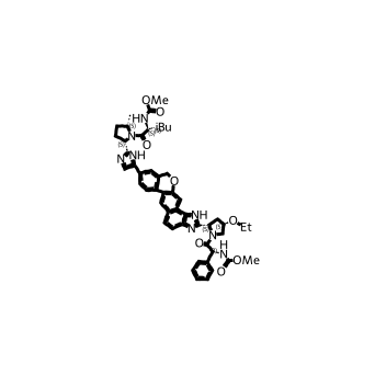 CCO[C@H]1C[C@@H](c2nc3ccc4cc5c(cc4c3[nH]2)OCc2cc(-c3cnc([C@@H]4CC[C@H](C)N4C(=O)[C@@H](NC(=O)OC)[C@@H](C)CC)[nH]3)ccc2-5)N(C(=O)[C@H](NC(=O)OC)c2ccccc2)C1